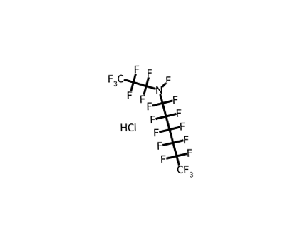 Cl.FN(C(F)(F)C(F)(F)C(F)(F)F)C(F)(F)C(F)(F)C(F)(F)C(F)(F)C(F)(F)C(F)(F)F